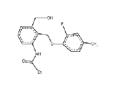 CCC(=O)Nc1cccc(CO)c1COc1ccc(C)cc1F